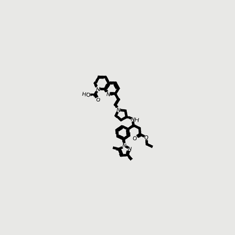 CCOC(=O)CC(NC1CCN(CCc2ccc3c(n2)N(C(=O)O)CCC3)C1)c1cccc(-n2nc(C)cc2C)c1